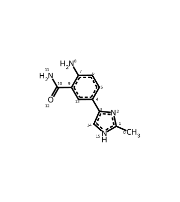 Cc1nc(-c2ccc(N)c(C(N)=O)c2)c[nH]1